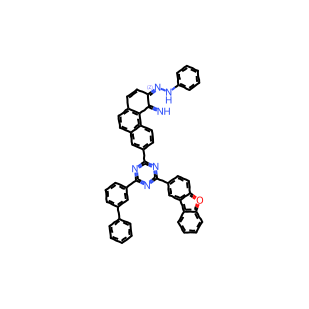 N=C1/C(=N\Nc2ccccc2)C=Cc2ccc3cc(-c4nc(-c5cccc(-c6ccccc6)c5)nc(-c5ccc6oc7ccccc7c6c5)n4)ccc3c21